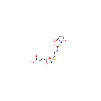 C[C@]1(OC(=O)CCC(=O)O)SC1CNC(=O)CN1C(=O)C=CC1O